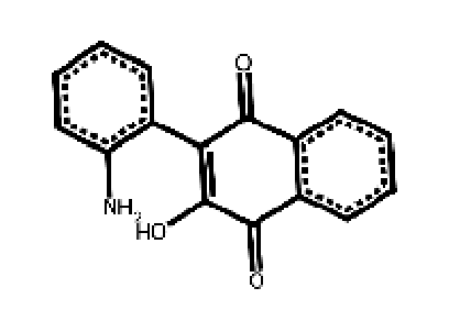 Nc1ccccc1C1=C(O)C(=O)c2ccccc2C1=O